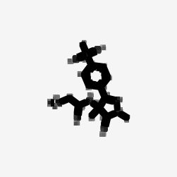 CN1N=C(c2ccc(S(C)(=O)=O)cc2)C(C)(OC(=O)CN)C1=O